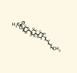 CCCCCCC[C@H]1CC[C@H]([C@H]2CC[C@H]([C@H]3CC[C@H](OC(C)=O)CC3)CC2)CC1